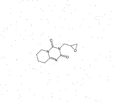 O=c1nc2n(c(=O)n1CC1CO1)CCCC2